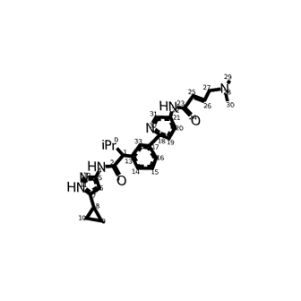 CC(C)C(C(=O)Nc1cc(C2CC2)[nH]n1)c1cccc(-c2ccc(NC(=O)C=CCN(C)C)cn2)c1